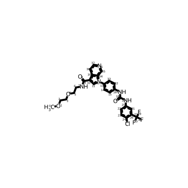 COCCOCCNC(=O)c1cn(-c2ccc(NC(=O)Nc3ccc(Cl)c(C(F)(F)F)c3)cc2)c2cnccc12